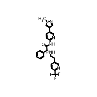 Cn1cc(-c2ccc(NC(=O)[C@H](NCCc3ccc(C(F)(F)F)nc3)c3ccccc3)nc2)cn1